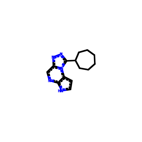 c1cc2c(ncc3nnc(C4CCCCCC4)n32)[nH]1